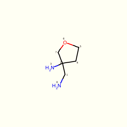 NCC1(N)CCOC1